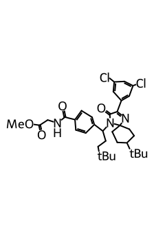 COC(=O)CNC(=O)c1ccc(C(CCC(C)(C)C)N2C(=O)C(c3cc(Cl)cc(Cl)c3)=NC23CCC(C(C)(C)C)CC3)cc1